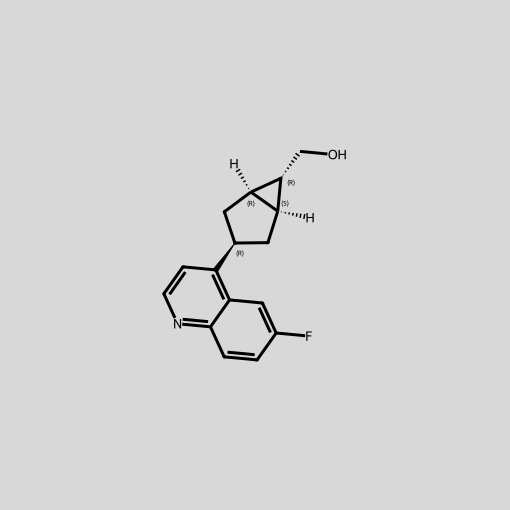 OC[C@@H]1[C@H]2C[C@@H](c3ccnc4ccc(F)cc34)C[C@@H]12